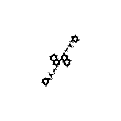 O=C(OCOc1cc(-c2cc(OCOC(=O)Oc3ccccc3)cc3ccccc23)c2ccccc2c1)Oc1ccccc1